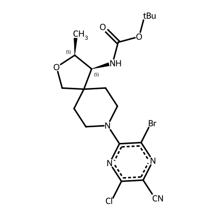 C[C@@H]1OCC2(CCN(c3nc(Cl)c(C#N)nc3Br)CC2)[C@@H]1NC(=O)OC(C)(C)C